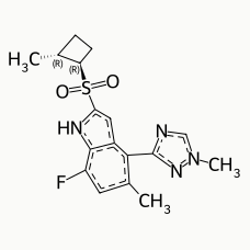 Cc1cc(F)c2[nH]c(S(=O)(=O)[C@@H]3CC[C@H]3C)cc2c1-c1ncn(C)n1